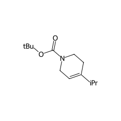 CC(C)C1=CCN(C(=O)OC(C)(C)C)CC1